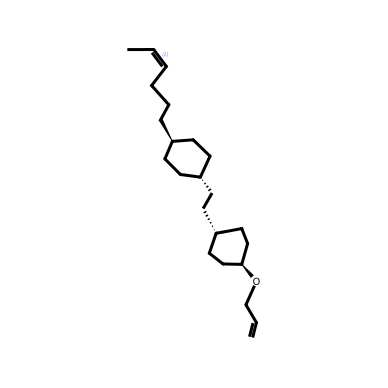 C=CCO[C@H]1CC[C@H](CC[C@H]2CC[C@H](CCC/C=C\C)CC2)CC1